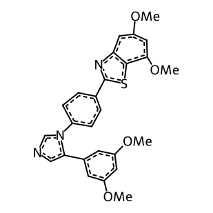 COc1cc(OC)cc(-c2cncn2-c2ccc(-c3nc4cc(OC)cc(OC)c4s3)cc2)c1